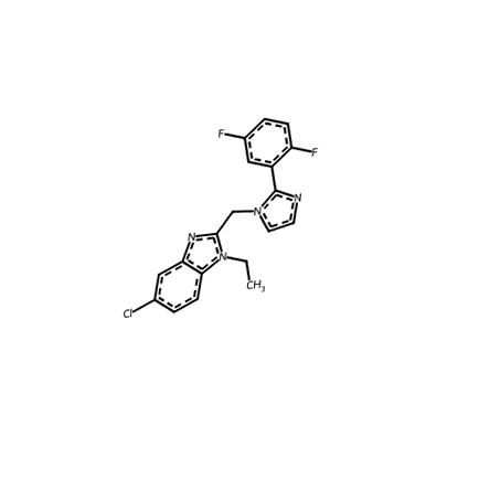 CCn1c(Cn2ccnc2-c2cc(F)ccc2F)nc2cc(Cl)ccc21